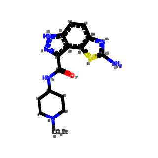 CCOC(=O)N1CCC(NC(=O)c2n[nH]c3ccc4nc(N)sc4c23)CC1